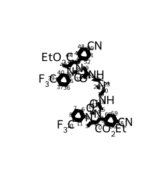 CCOC(=O)C1=C(C)N(c2cccc(C(F)(F)F)c2)C(=O)N(CC(=O)NCC[N+](C)(C)CCNC(=O)CN2C(=O)N(c3cccc(C(F)(F)F)c3)C(C)=C(C(=O)OCC)C2c2ccc(C#N)cc2)C1c1ccc(C#N)cc1